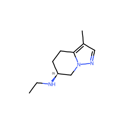 CCN[C@H]1CCc2c(C)cnn2C1